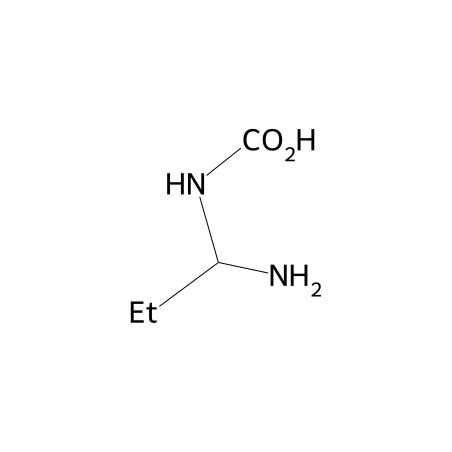 CCC(N)NC(=O)O